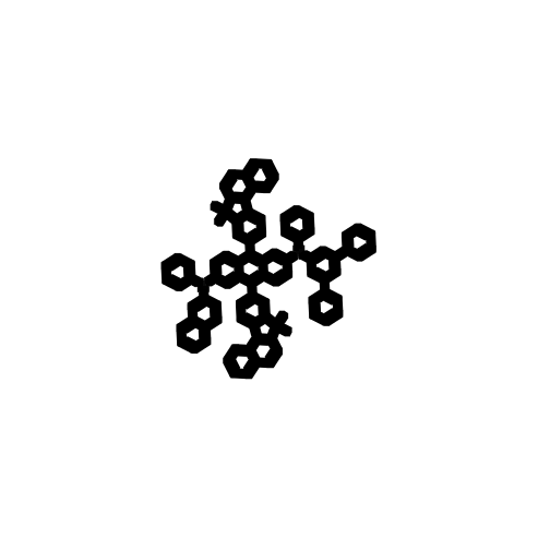 CC1(C)c2cc(-c3c4ccc(N(c5ccccc5)c5ccc6ccccc6c5)cc4c(-c4ccc5c(c4)C(C)(C)c4ccc6ccccc6c4-5)c4ccc(N(c5ccccc5)c5cc(-c6ccccc6)cc(-c6ccccc6)c5)cc34)ccc2-c2c1ccc1ccccc21